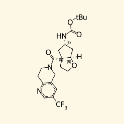 CC(C)(C)OC(=O)N[C@@H]1C[C@H]2OCC[C@@]2(C(=O)N2CCc3ncc(C(F)(F)F)cc3C2)C1